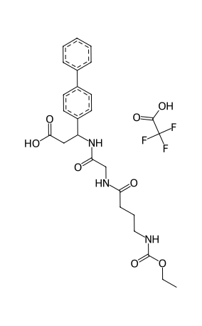 CCOC(=O)NCCCC(=O)NCC(=O)NC(CC(=O)O)c1ccc(-c2ccccc2)cc1.O=C(O)C(F)(F)F